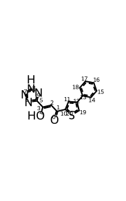 O=C(C=C(O)c1nn[nH]n1)c1cc(-c2ccccc2)cs1